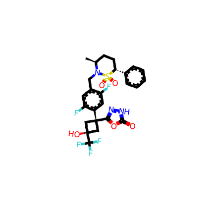 C[C@H]1CC[C@H](c2ccccc2)S(=O)(=O)N1Cc1cc(F)c([C@]2(c3n[nH]c(=O)o3)C[C@@](O)(C(F)(F)F)C2)cc1F